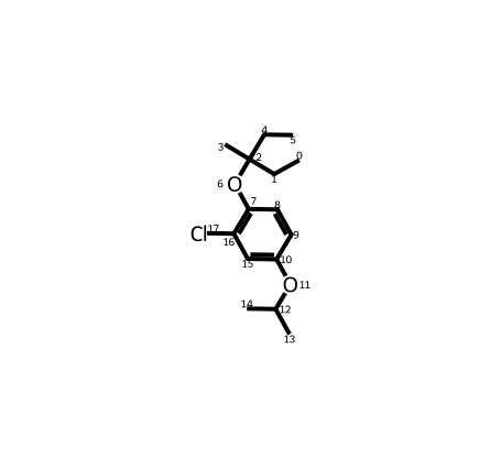 CCC(C)(CC)Oc1ccc(OC(C)C)cc1Cl